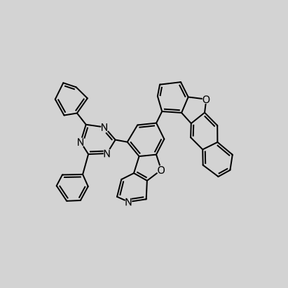 c1ccc(-c2nc(-c3ccccc3)nc(-c3cc(-c4cccc5oc6cc7ccccc7cc6c45)cc4oc5cnccc5c34)n2)cc1